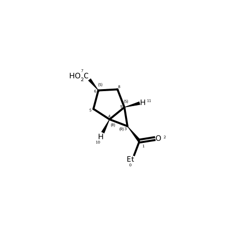 CCC(=O)[C@H]1[C@@H]2C[C@@H](C(=O)O)C[C@@H]21